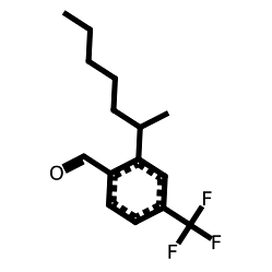 CCCCCC(C)c1cc(C(F)(F)F)ccc1C=O